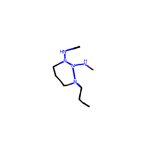 CCCN1CCCN(NC)N1NC